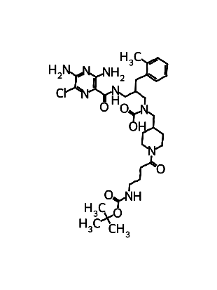 Cc1ccccc1CC(CNC(=O)c1nc(Cl)c(N)nc1N)CN(CC1CCN(C(=O)CCCNC(=O)OC(C)(C)C)CC1)C(=O)O